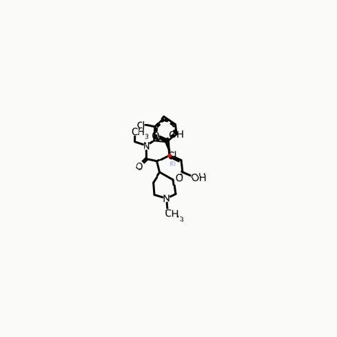 CCN(C(=O)C(/C(=C\C(=O)O)C(=O)O)C1CCN(C)CC1)c1c(Cl)cccc1Cl